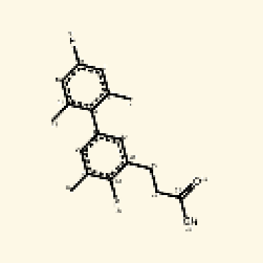 Cc1cc(-c2c(C)cc(F)cc2C)cc(CCC(=O)O)c1F